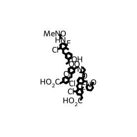 CNC(=O)CNc1cc(Cl)c(Cc2ccc(O)c(C(C)Oc3ccc(Cc4c(Cl)cc(CC(=O)O)cc4Cl)cc3C(=O)N3CCC(Oc4ccc(Cc5c(Cl)cc(CC(=O)O)cc5Cl)cc4CN4CCCCC4=O)C3)c2)c(C)c1F